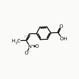 C/C(=C/c1ccc(C(=O)O)cc1)[N+](=O)[O-]